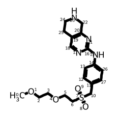 COCCOCCS(=O)(=O)Cc1ccc(Nc2ncc3c(n2)CNCC3)cc1